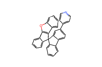 c1ccc2c(c1)-c1ccc(-c3ccncc3)cc1C21c2ccccc2-c2oc3ccccc3c21